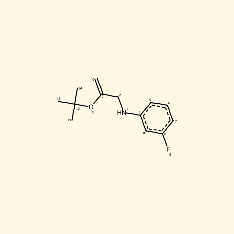 C=C(CNc1cccc(F)c1)OC(C)(C)C